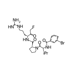 CC(C)C(NC(=O)c1cccc(Br)c1)C(=O)N1CCC[C@H]1C(=O)N[C@@H](CCCNC(=N)N)C(=O)CF